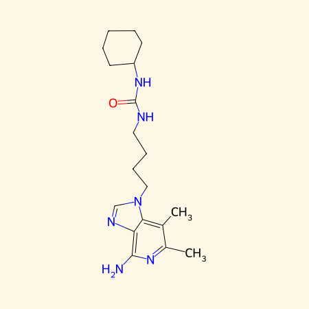 Cc1nc(N)c2ncn(CCCCNC(=O)NC3CCCCC3)c2c1C